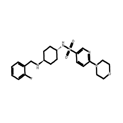 O=S(=O)(N[C@H]1CC[C@H](NCc2ccccc2F)CC1)c1ccc(N2CCOCC2)nc1